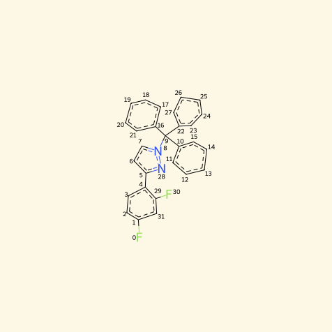 Fc1ccc(-c2ccn(C(c3ccccc3)(c3ccccc3)c3ccccc3)n2)c(F)c1